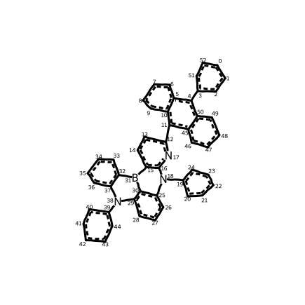 c1ccc(-c2c3ccccc3c(-c3ccc4c(n3)N(c3ccccc3)c3cccc5c3B4c3ccccc3N5c3ccccc3)c3ccccc23)cc1